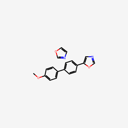 COc1ccc(-c2ccc(-c3cnco3)cc2)cc1.c1cocn1